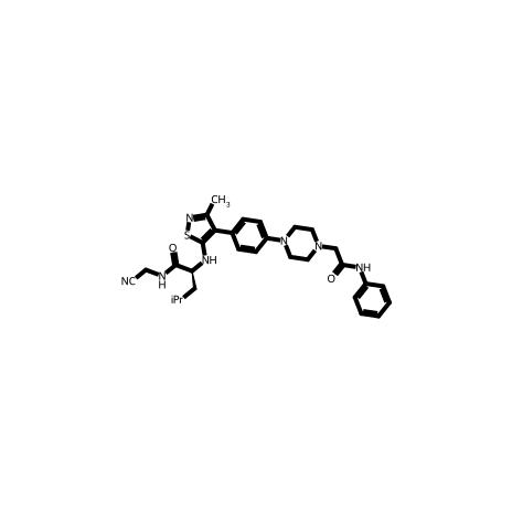 Cc1nsc(N[C@@H](CC(C)C)C(=O)NCC#N)c1-c1ccc(N2CCN(CC(=O)Nc3ccccc3)CC2)cc1